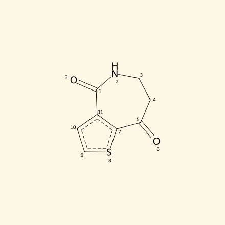 O=C1NCCC(=O)c2sccc21